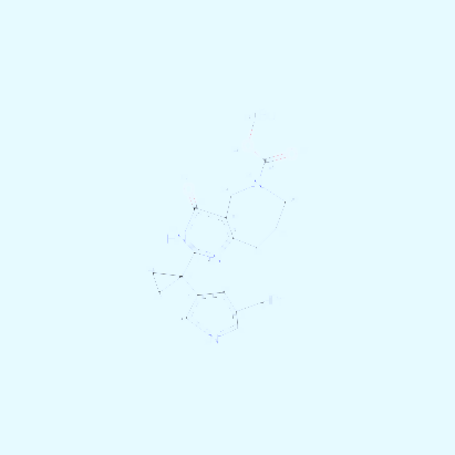 CC(C)c1cncc(C2(c3nc4c(c(=O)[nH]3)CN(C(=O)OC(C)(C)C)CCC4)CC2)c1